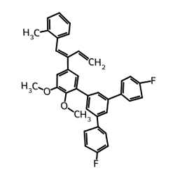 C=C/C(=C\c1ccccc1C)c1cc(OC)c(OC)c(-c2cc(-c3ccc(F)cc3)cc(-c3ccc(F)cc3)c2)c1